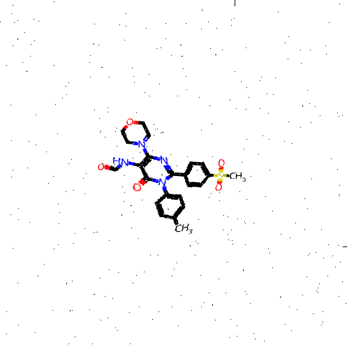 Cc1ccc(-n2c(-c3ccc(S(C)(=O)=O)cc3)nc(N3CCOCC3)c(NC=O)c2=O)cc1